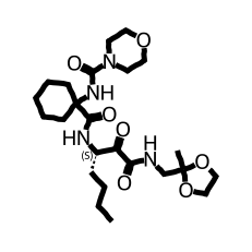 CCCC[C@H](NC(=O)C1(NC(=O)N2CCOCC2)CCCCC1)C(=O)C(=O)NCC1(C)OCCO1